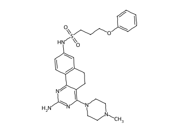 CN1CCN(c2nc(N)nc3c2CCc2cc(NS(=O)(=O)CCCOc4ccccc4)ccc2-3)CC1